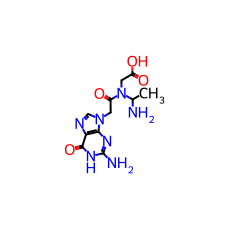 CC(N)N(CC(=O)O)C(=O)Cn1cnc2c(=O)[nH]c(N)nc21